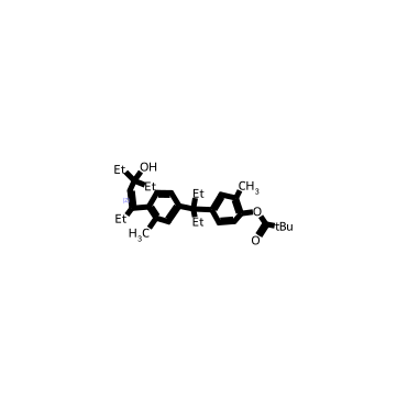 CC/C(=C/C(O)(CC)CC)c1ccc(C(CC)(CC)c2ccc(OC(=O)C(C)(C)C)c(C)c2)cc1C